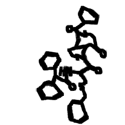 O=C(NC(CSCc1ccccc1)C(=O)N1CCC2C1C(=O)CN2C(=O)c1ccccc1)C(c1ccccc1)c1ccccc1